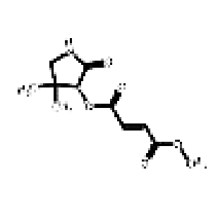 COC(=O)/C=C/C(=O)O[C@@H]1C(=O)NCC1(C)C